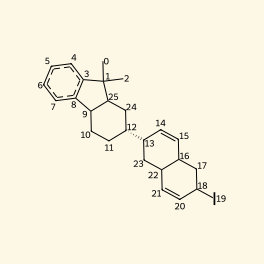 CC1(C)c2ccccc2C2CC[C@@H](C3C=CC4CC(I)C=CC4C3)CC21